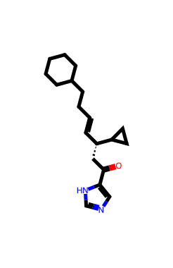 O=C(C[C@H](/C=C/CCC1CCCCC1)C1CC1)c1cnc[nH]1